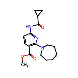 COC(=O)c1ccc(NC(=O)C2CC2)nc1N1CCCCCC1